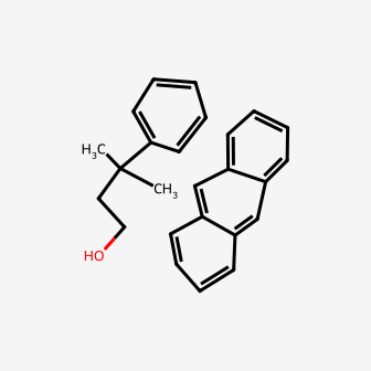 CC(C)(CCO)c1ccccc1.c1ccc2cc3ccccc3cc2c1